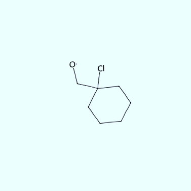 [O]CC1(Cl)CCCCC1